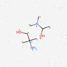 CC(C)(N)CO.CC(O)N(C)C